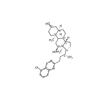 C[C@H](CCc1ncc2c(Cl)cccc2n1)[C@H]1CC[C@H]2[C@@H]3CC[C@@H]4C[C@H](O)CC[C@]4(C)C3C[C@H](O)[C@]12C